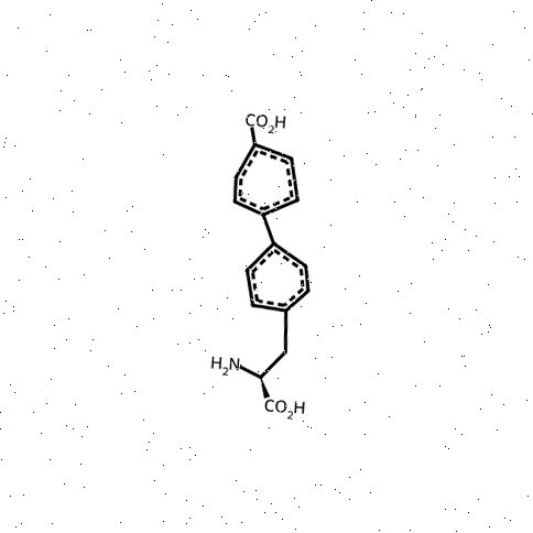 N[C@@H](Cc1ccc(-c2ccc(C(=O)O)cc2)cc1)C(=O)O